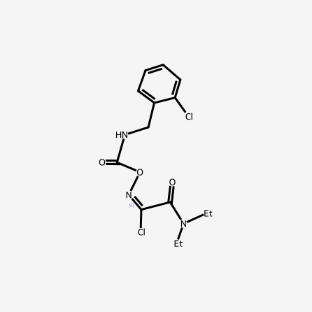 CCN(CC)C(=O)/C(Cl)=N\OC(=O)NCc1ccccc1Cl